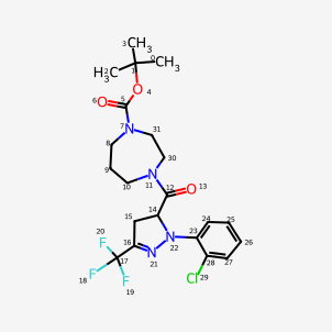 CC(C)(C)OC(=O)N1CCCN(C(=O)C2CC(C(F)(F)F)=NN2c2ccccc2Cl)CC1